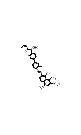 C/C=C\C(=O)N(C=O)c1ccc(-c2ccc(/N=N/c3ccc4c(S(=O)(=O)O)cc(S(=O)(=O)O)c(N)c4c3O)c(C)c2)cc1C